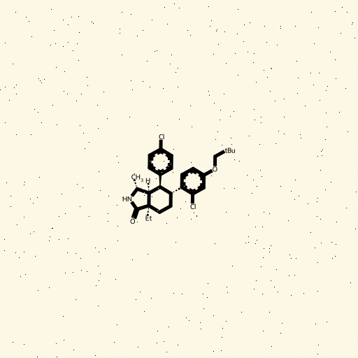 CC[C@@]12CC[C@@H](c3ccc(OCC(C)(C)C)cc3Cl)[C@H](c3ccc(Cl)cc3)[C@@H]1[C@@H](C)NC2=O